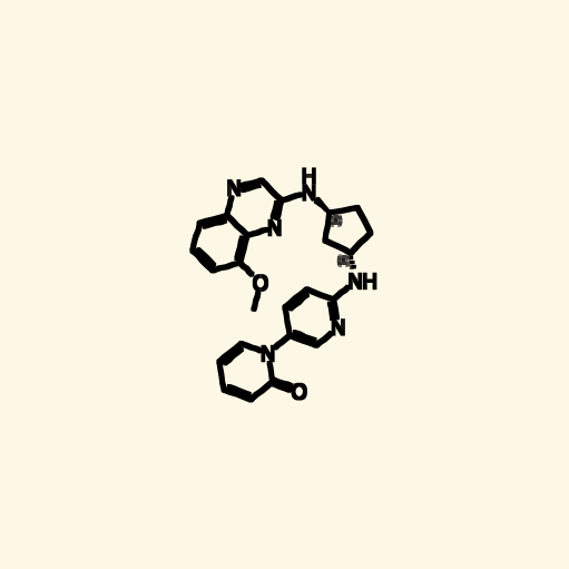 COc1cccc2ncc(N[C@H]3CC[C@H](Nc4ccc(-n5ccccc5=O)cn4)C3)nc12